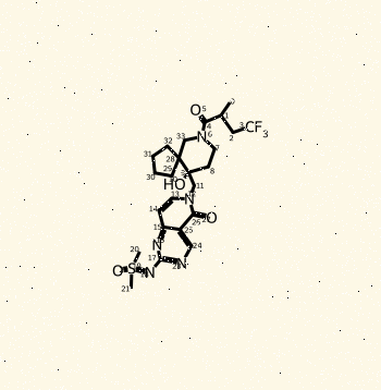 CC(CC(F)(F)F)C(=O)N1CCC(O)(Cn2ccc3nc(N=S(C)(C)=O)ncc3c2=O)C2(CCCC2)C1